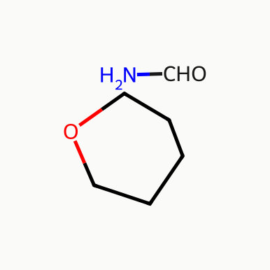 C1CCOCC1.NC=O